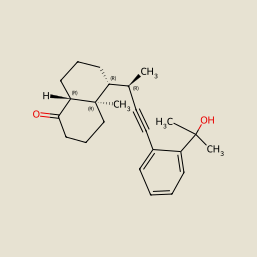 C[C@@H](C#Cc1ccccc1C(C)(C)O)[C@H]1CCC[C@H]2C(=O)CCC[C@]12C